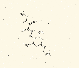 CCC=C(CCC)CC(C)CCOC(=O)C(=O)OCC